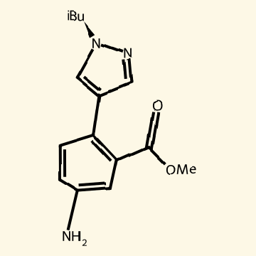 CC[C@H](C)n1cc(-c2ccc(N)cc2C(=O)OC)cn1